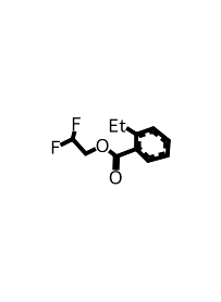 CCc1ccccc1C(=O)OCC(F)F